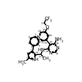 Cc1cc(-c2ccccc2)c(C(C)Nc2ncnc(N)c2-c2cncc(OCC(F)(F)F)c2)[nH]1